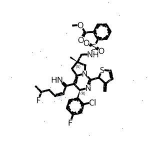 C=C1C=CSC1C1=N[C@@H](c2ccc(F)cc2Cl)C(C(=N)/C=C\CC(C)F)=C2C[C@](C)(CNS(=O)(=O)c3ccccc3C(=O)OC)CN12